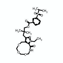 CCn1nc(CC(C)(C)COC(=O)c2cccc(S(=O)(=O)C(C)C)c2)c2c1C(=O)NCCCOCCC2